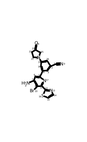 N#Cc1cc(-c2cc(N)c(Br)c(-c3nccs3)n2)cc(N2CCC(=O)C2)c1